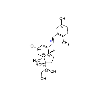 CC1=C(/C=C/C2=C[C@@H](O)C[C@@]3(C)[C@H]2CC[C@]3(O)[C@@H](O)CO)C[C@@H](O)CC1